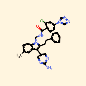 Cc1ccc2c(c1)c(-c1cnc(N)nc1)c(CCc1ccccc1)n2CNC(=O)c1ccc(-n2cnnc2)cc1Cl